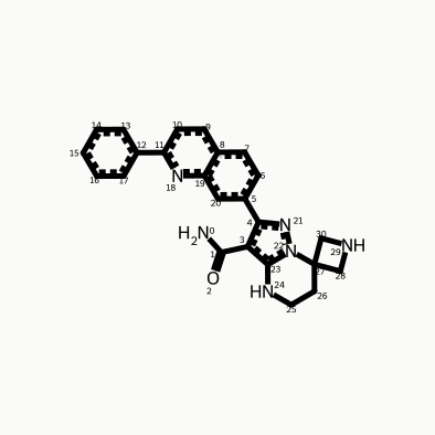 NC(=O)c1c(-c2ccc3ccc(-c4ccccc4)nc3c2)nn2c1NCCC21CNC1